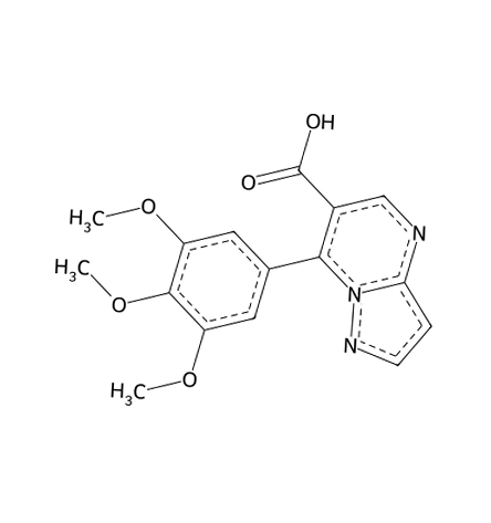 COc1cc(-c2c(C(=O)O)cnc3ccnn23)cc(OC)c1OC